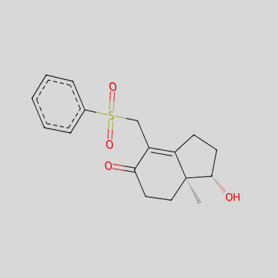 C[C@]12CCC(=O)C(CS(=O)(=O)c3ccccc3)=C1CC[C@@H]2O